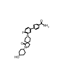 NC(=O)c1ccc(-c2ccc(F)c(N3CCC4(CC3)CCN([C@H]3CC[C@@H](O)CC3)C4=O)c2)cc1